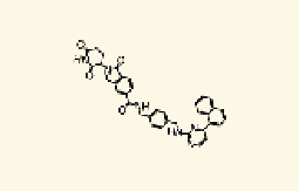 O=C1CCC(N2Cc3cc(C(=O)NCc4ccc(CNc5nccc(-c6cccc7ccccc67)n5)cc4)ccc3C2=O)C(=O)N1